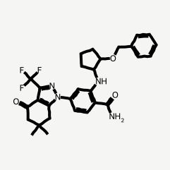 CC1(C)CC(=O)c2c(C(F)(F)F)nn(-c3ccc(C(N)=O)c(NC4CCCC4OCc4ccccc4)c3)c2C1